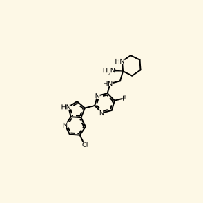 N[C@]1(CNc2nc(-c3c[nH]c4ncc(Cl)cc34)ncc2F)CCCCN1